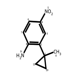 CC1(c2cc([N+](=O)[O-])ccc2N)CC1